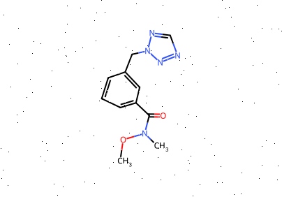 CON(C)C(=O)c1cccc(Cn2ncnn2)c1